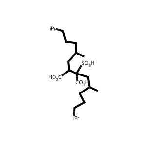 CC(C)CCCC(C)CC(C(=O)O)C(CC(C)CCCC(C)C)(C(=O)O)S(=O)(=O)O